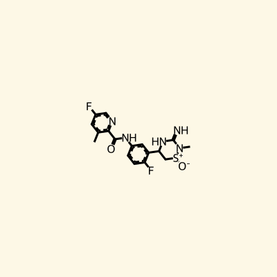 Cc1cc(F)cnc1C(=O)Nc1ccc(F)c(C2C[S+]([O-])N(C)C(=N)N2)c1